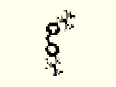 CN(C)C(=Nc1ccc(Cc2ccc(N=C(N(C)C)N(C)C)cc2)cc1)N(C)C